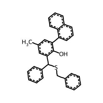 Cc1cc(-c2cccc3ccccc23)c(O)c(C(SCc2ccccc2)c2ccccc2)c1